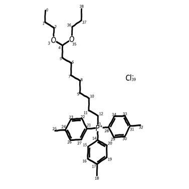 CCCOC(CCCCCCCC[P+](c1ccc(C)cc1)(c1ccc(C)cc1)c1ccc(C)cc1)OCCC.[Cl-]